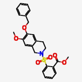 COC(=O)c1ccccc1S(=O)(=O)N1CCc2cc(OCc3ccccc3)c(OC)cc2C1